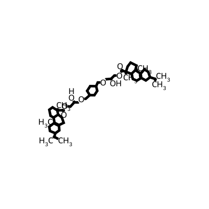 CC(C)C1CCC2=C(CCC3C(C)(C(=O)OCC(O)COCC4CCC(COCC(O)COC(=O)C5(C)CCCC6(C)C7=C(CCC56)CC(C(C)C)CC7)CC4)CCCC23C)C1